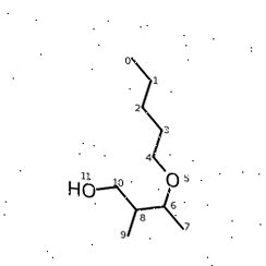 CCCCCOC(C)C(C)CO